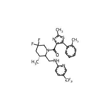 Cc1nc(C(=O)N2CC(F)(F)C[C@@H](C)C2CNc2ccc(C(F)(F)F)cn2)c(-c2ccccc2C)s1